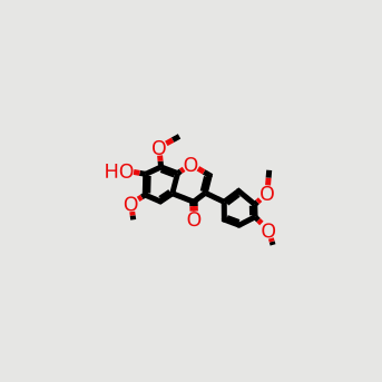 COc1ccc(-c2coc3c(OC)c(O)c(OC)cc3c2=O)cc1OC